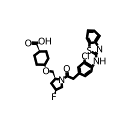 O=C(Cc1ccc(Nc2nc3ccccc3s2)c(Cl)c1)N1C[C@@H](F)C[C@H]1CO[C@H]1CC[C@H](C(=O)O)CC1